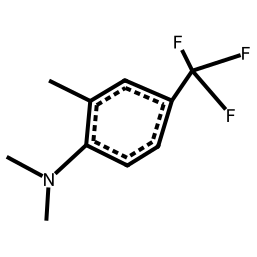 Cc1cc(C(F)(F)F)ccc1N(C)C